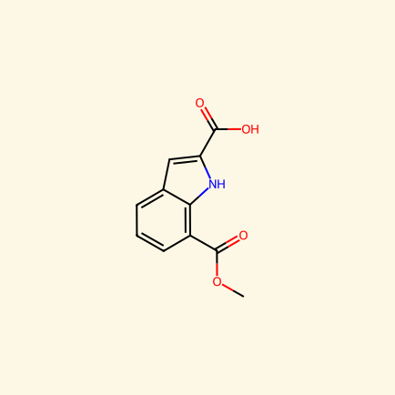 COC(=O)c1cccc2cc(C(=O)O)[nH]c12